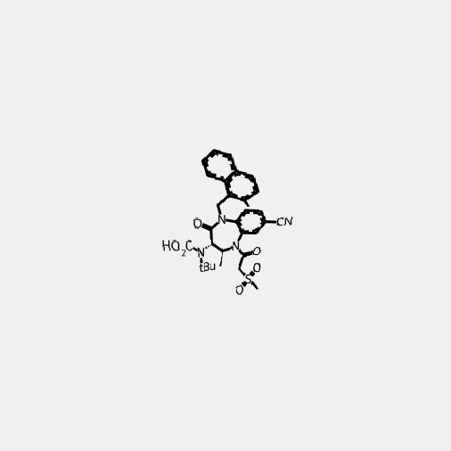 Cc1ccc2ccccc2c1CN1C(=O)[C@@H](N(C(=O)O)C(C)(C)C)[C@H](C)N(C(=O)CS(C)(=O)=O)c2cc(C#N)ccc21